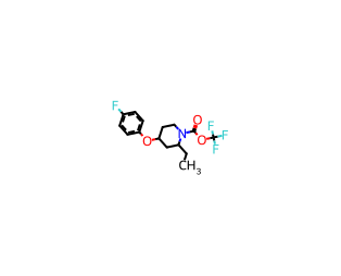 CCC1CC(Oc2ccc(F)cc2)CCN1C(=O)OC(F)(F)F